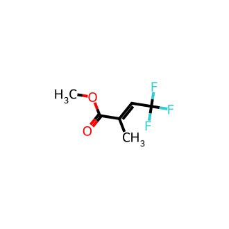 COC(=O)C(C)=CC(F)(F)F